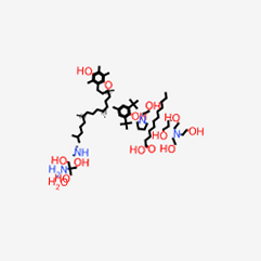 CCCCCCCCCCCC(=O)O.CNC.Cc1c(C)c2c(c(C)c1O)CC[C@@](C)(CCC[C@H](C)CCC[C@H](C)CCCC(C)C)O2.Cc1cc(C(C)(C)C)c(O)c(C(C)(C)C)c1.NC(CO)(CO)CO.O.OCCN(CCO)CCO.OCCN1CCCC1.[CH2]CCO